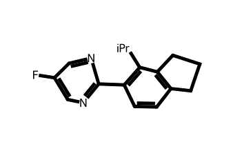 CC(C)c1c(-c2ncc(F)cn2)ccc2c1CCC2